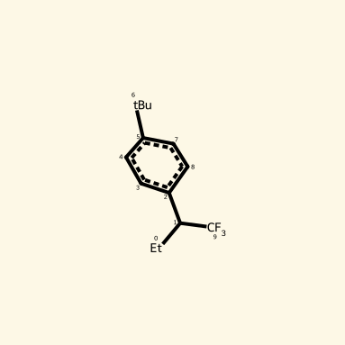 CCC(c1ccc(C(C)(C)C)cc1)C(F)(F)F